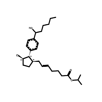 CCCCCC(O)c1ccc([C@@H]2[C@@H](CC=CCCCC(=O)OC(C)C)CC[C@H]2Cl)cc1